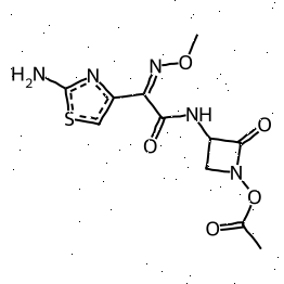 CON=C(C(=O)NC1CN(OC(C)=O)C1=O)c1csc(N)n1